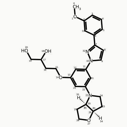 COc1cccc(-c2ccn(-c3cc(OCCC(O)CO)cc(N4CC[C@H]5OCC[C@H]54)c3)n2)c1